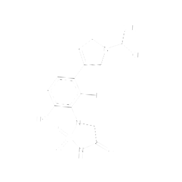 CC(C)N1CC=C(c2ccc(O)c(N3CC(=O)NS3(=O)=O)c2F)C1